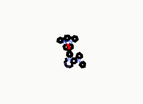 CC1/C=C\C=C/CC2=C(C=C3C4=C(C=C=C=C4)N(c4ccccc4)C3C2)N1c1c#cc(-c2ccc(-n3c4ccccc4c4ccc5c6ccccc6n(-c6ccccc6)c5c43)cc2)cc1